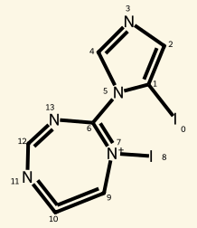 Ic1cncn1C1=[N+](I)C=C=NC=N1